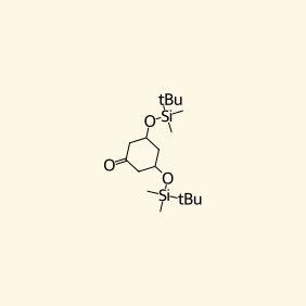 CC(C)(C)[Si](C)(C)OC1CC(=O)CC(O[Si](C)(C)C(C)(C)C)C1